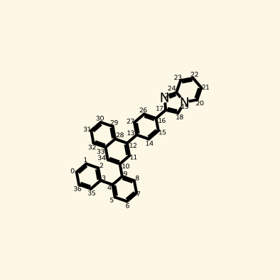 c1ccc(-c2ccccc2-c2cc(-c3ccc(-c4cn5ccccc5n4)cc3)c3ccccc3c2)cc1